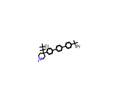 CCC(C)(C)C(C)(C)C1(c2ccc(-c3ccc(-c4ccc(C(C)(C)C(C)C)cc4)cc3)cc2)CCN(C)CC1